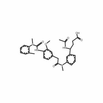 COc1cc(CC(=O)N(C)c2cccc(C(CCC(=O)O)NC(C)=O)c2)ccc1NC(=O)N(C)c1ccccc1C